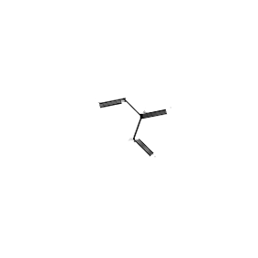 C=[C]C(=C)[C]=C